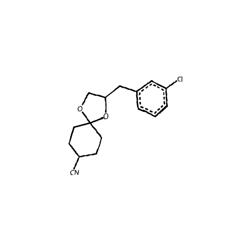 N#CC1CCC2(CC1)OCC(Cc1cccc(Cl)c1)O2